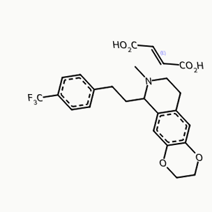 CN1CCc2cc3c(cc2C1CCc1ccc(C(F)(F)F)cc1)OCCO3.O=C(O)/C=C/C(=O)O